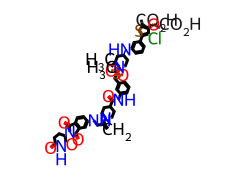 C=C(CNc1ccc2c(c1)C(=O)N(C1CCC(=O)NC1=O)C2=O)N1CCC(C(=O)Nc2cccc(CS(=O)(=O)N3CC[C@H](Nc4cccc(-c5sc(C(=O)O)c(OCC(=O)O)c5Cl)c4)CC3(C)C)c2)CC1